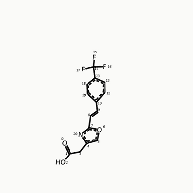 O=C(O)Cc1coc(/C=C/c2ccc(C(F)(F)F)cc2)n1